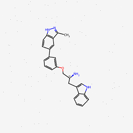 Cc1n[nH]c2ccc(-c3cccc(OC[C@@H](N)Cc4c[nH]c5ccccc45)c3)cc12